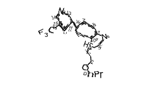 CCCOC[CH][SH]1C=Nc2ccc(-c3cncc(C(F)(F)F)c3)nc21